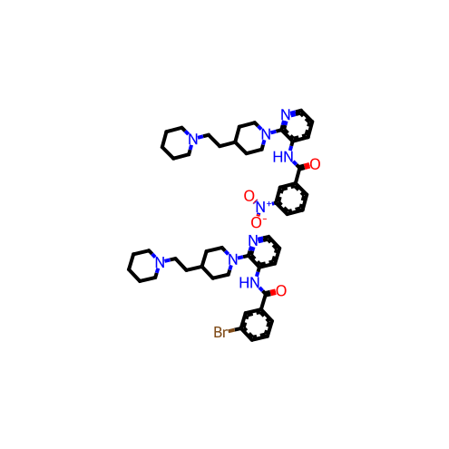 O=C(Nc1cccnc1N1CCC(CCN2CCCCC2)CC1)c1cccc(Br)c1.O=C(Nc1cccnc1N1CCC(CCN2CCCCC2)CC1)c1cccc([N+](=O)[O-])c1